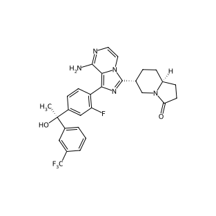 C[C@@](O)(c1cccc(C(F)(F)F)c1)c1ccc(-c2nc([C@@H]3CC[C@H]4CCC(=O)N4C3)n3ccnc(N)c23)c(F)c1